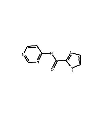 O=C(Nc1ccncn1)c1ncc[nH]1